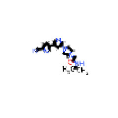 CC(C)NC(=O)CN1CCN(c2cncc(-c3ccc(C#N)nc3)c2)CC1